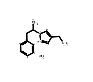 CC(Cc1ccccc1)n1cc(CN)cn1.Cl